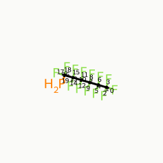 FC(F)(F)C(F)(F)C(F)(F)C(F)(F)C(F)(F)C(F)(F)P